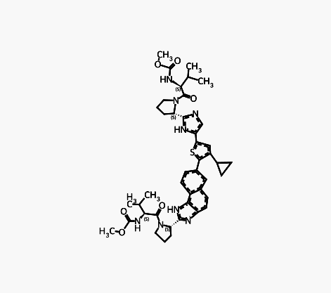 COC(=O)N[C@H](C(=O)N1CCC[C@H]1c1ncc(-c2cc(C3CC3)c(-c3ccc4c(ccc5nc([C@@H]6CCCN6C(=O)[C@@H](NC(=O)OC)C(C)C)[nH]c54)c3)s2)[nH]1)C(C)C